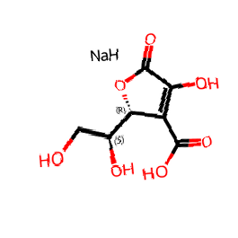 O=C(O)C1=C(O)C(=O)O[C@H]1[C@@H](O)CO.[NaH]